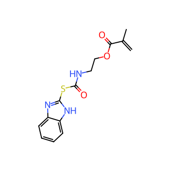 C=C(C)C(=O)OCCNC(=O)Sc1nc2ccccc2[nH]1